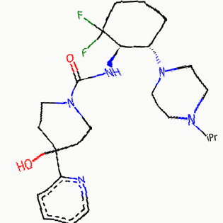 CC(C)N1CCN([C@H]2CCCC(F)(F)[C@@H]2NC(=O)N2CCC(O)(c3ccccn3)CC2)CC1